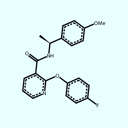 COc1ccc([C@H](C)NC(=O)c2cccnc2Oc2ccc(F)cc2)cc1